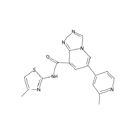 Cc1cc(-c2cc(C(=O)Nc3nc(C)cs3)c3nncn3c2)ccn1